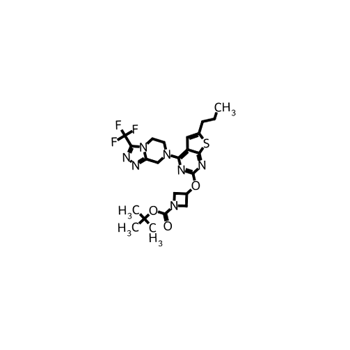 CCCc1cc2c(N3CCn4c(nnc4C(F)(F)F)C3)nc(OC3CN(C(=O)OC(C)(C)C)C3)nc2s1